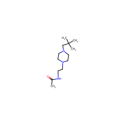 CC(=O)NCCN1CCN(CC(C)(C)C)CC1